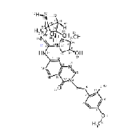 COc1ccc(CCn2cnc3cc(N/C(=N/C4C[C@@H]5C[C@H]([C@@H]4C)C5(C)C)N4C[C@H](O)[C@@H](O)C4)ccc3c2=O)c(F)c1